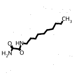 CCCCCCCCCCNC(=O)C(N)=O